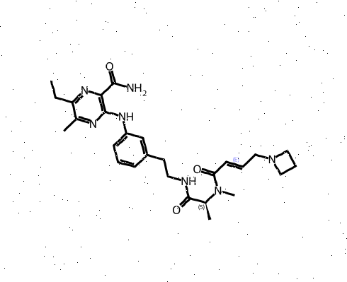 CCc1nc(C(N)=O)c(Nc2cccc(CCNC(=O)[C@H](C)N(C)C(=O)/C=C/CN3CCC3)c2)nc1C